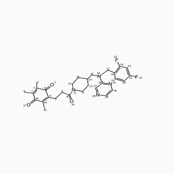 CC1=C(C)C(=O)C(CCC(=O)N2CCC(CN(Cc3ccc(F)cc3F)c3cnccn3)CC2)=C(C)C1=O